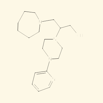 CCC(CN1CCCCCC1)N1CCN(c2ccccn2)CC1